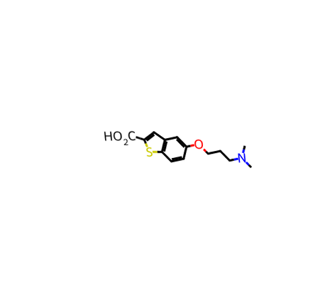 CN(C)CCCOc1ccc2sc(C(=O)O)cc2c1